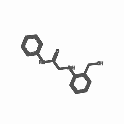 O=C(C[AsH]c1ccccc1CO)Nc1ccccc1